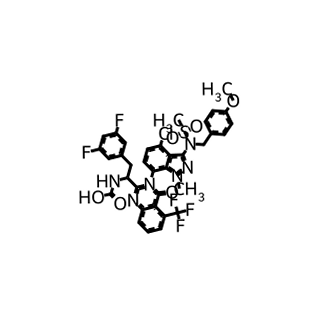 COc1ccc(CN(c2nn(C)c3c(-n4c(C(Cc5cc(F)cc(F)c5)NC(=O)O)nc5cccc(C(F)(F)F)c5c4=O)ccc(Cl)c23)S(C)(=O)=O)cc1